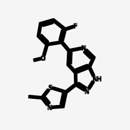 COc1cccc(F)c1-c1cc2c(-c3cnc(C)s3)n[nH]c2cn1